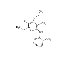 CCOc1c(C)c(Nc2ccccc2C)cc(CC)c1F